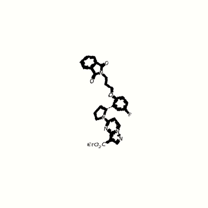 CCOC(=O)c1cnn2ccc(N3CCC[C@@H]3c3cc(F)ccc3OCCCN3C(=O)c4ccccc4C3=O)nc12